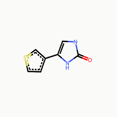 O=C1[N]C=C(c2ccsc2)N1